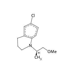 COC[C@@H](C)N1CCCc2cc(Cl)ccc21